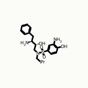 CC(C)CN(C[C@@H](O)[C@@H](N)Cc1ccccc1)S(=O)(=O)c1ccc(O)c(N)c1